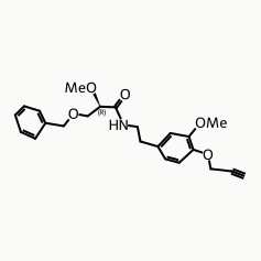 C#CCOc1ccc(CCNC(=O)[C@@H](COCc2ccccc2)OC)cc1OC